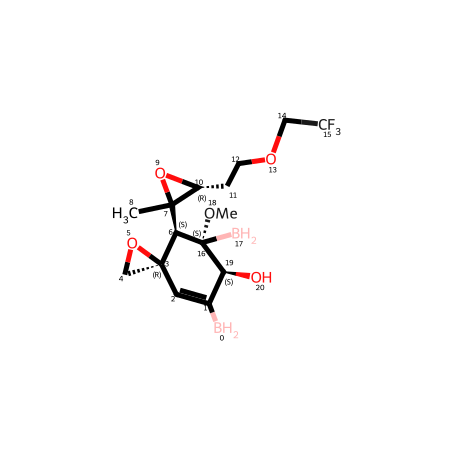 BC1=C[C@]2(CO2)[C@@H](C2(C)O[C@@H]2CCOCC(F)(F)F)[C@](B)(OC)[C@H]1O